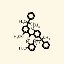 COc1ccc(C(C)(C)c2ccccc2)cc1C(=C=Nc1c(C)cccc1C)c1cc(C(C)(C)c2ccccc2)ccc1OC